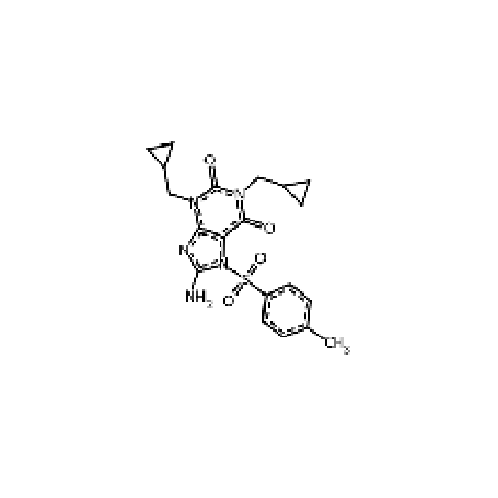 Cc1ccc(S(=O)(=O)n2c(N)nc3c2c(=O)n(CC2CC2)c(=O)n3CC2CC2)cc1